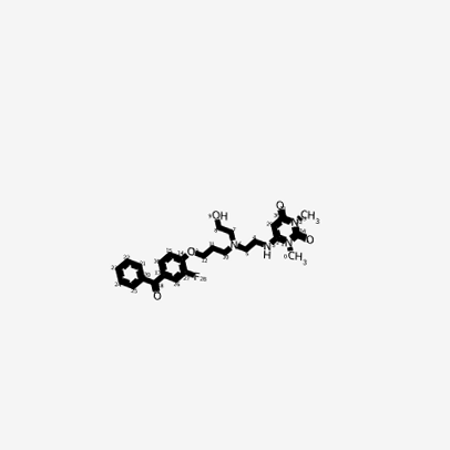 Cn1c(NCCN(CCO)CCCOc2ccc(C(=O)c3ccccc3)cc2F)cc(=O)n(C)c1=O